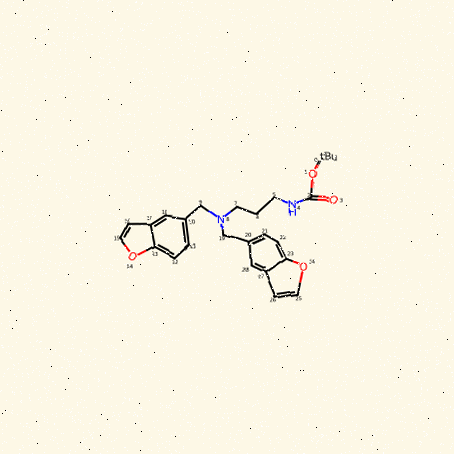 CC(C)(C)OC(=O)NCCCN(Cc1ccc2occc2c1)Cc1ccc2occc2c1